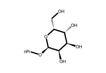 CCCO[C@H]1O[C@H](CO)[C@H](O)[C@@H](O)[C@H]1O